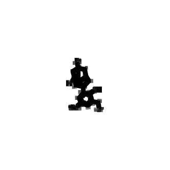 CCC12CC3CC(CC)(C1)CC(c1cc(C(C)(C)C)cc(CBr)c1O)(C3)C2